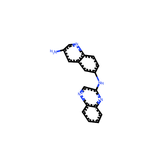 Nc1cnc2ccc(Nc3cnc4ccccc4n3)cc2c1